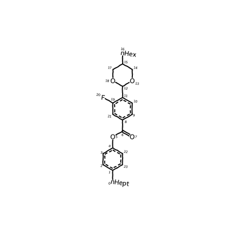 CCCCCCCc1ccc(OC(=O)c2ccc(C3OCC(CCCCCC)CO3)c(F)c2)cc1